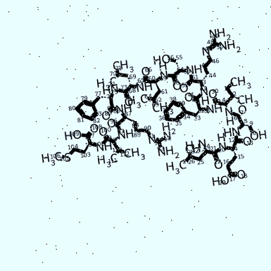 CC[C@H](C)[C@H](NC(=O)[C@H](CO)NC(=O)[C@H](CCC(=O)O)NC(=O)[C@@H](N)CC(C)C)C(=O)N[C@@H](Cc1ccccc1)C(=O)N[C@@H](CCCN=C(N)N)C(=O)N[C@@H](CO)C(=O)N[C@@H](CC(C)C)C(=O)N[C@@H](CC(C)C)C(=O)N[C@@H](Cc1ccccc1)C(=O)N[C@@H](CCCN=C(N)N)C(=O)N[C@H](C(=O)N[C@@H](CCSC)C(=O)O)C(C)C